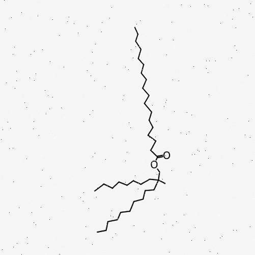 CCCCCCCCCCCCCCCCCC(=O)OCC(C)(CCCCCCCC)CCCCCCCCCC